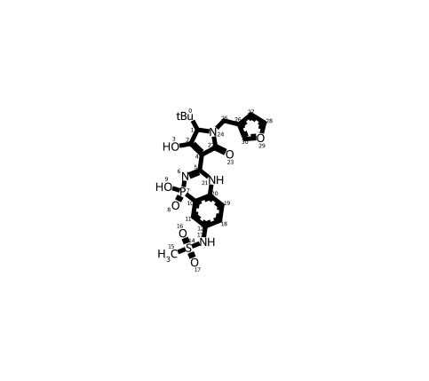 CC(C)(C)C1C(O)=C(C2=NP(=O)(O)c3cc(NS(C)(=O)=O)ccc3N2)C(=O)N1Cc1ccoc1